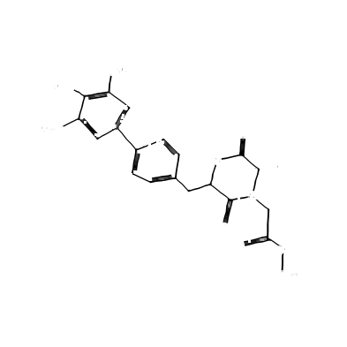 CCCCCCCNC(=O)CN1C(=O)C(Cc2ccc(-c3cc(OC)c(OC)c(OC)c3)cc2)NC(=O)[C@@H]1C